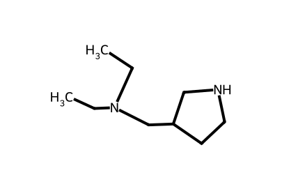 CCN(CC)CC1CCNC1